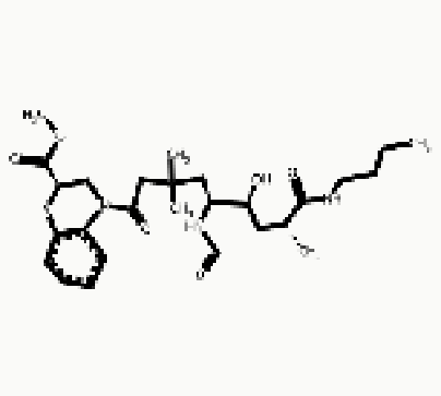 CCCCNC(=O)[C@H](C)C[C@H](O)[C@H](CC(C)(C)CC(=O)N1C[C@H](C(=O)OC)Sc2ccccc21)NC=O